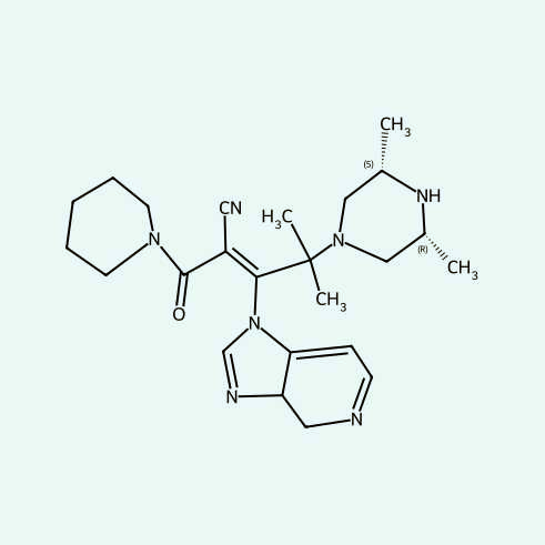 C[C@@H]1CN(C(C)(C)C(=C(C#N)C(=O)N2CCCCC2)N2C=NC3CN=CC=C32)C[C@H](C)N1